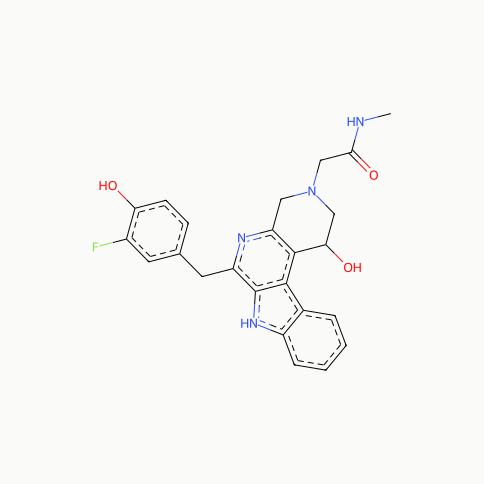 CNC(=O)CN1Cc2nc(Cc3ccc(O)c(F)c3)c3[nH]c4ccccc4c3c2C(O)C1